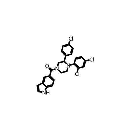 O=C(c1ccc2[nH]ccc2c1)N1CCN(c2ccc(Cl)cc2Cl)C(c2ccc(Cl)cc2)C1